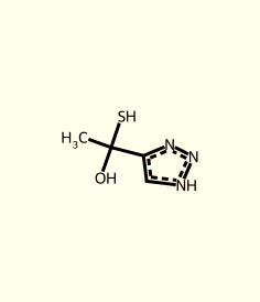 CC(O)(S)c1c[nH]nn1